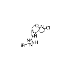 CC(C)c1n[nH]c(-c2cn3c(n2)-c2ccc(Cl)nc2OCC3)n1